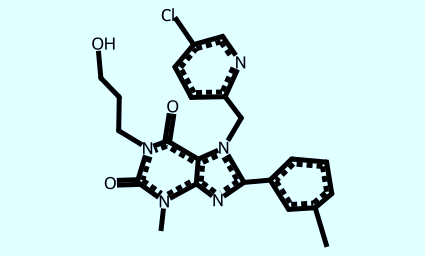 Cc1cccc(-c2nc3c(c(=O)n(CCCO)c(=O)n3C)n2Cc2ccc(Cl)cn2)c1